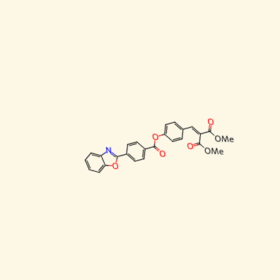 COC(=O)C(=Cc1ccc(OC(=O)c2ccc(-c3nc4ccccc4o3)cc2)cc1)C(=O)OC